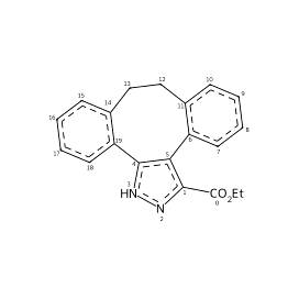 CCOC(=O)c1n[nH]c2c1-c1ccccc1CCc1ccccc1-2